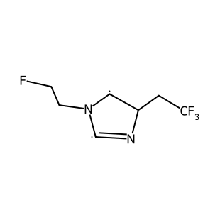 FCCN1[C]=NC(CC(F)(F)F)[CH]1